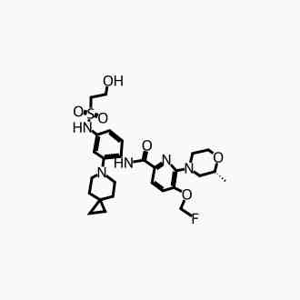 C[C@@H]1CN(c2nc(C(=O)Nc3ccc(NS(=O)(=O)CCO)cc3N3CCC4(CC3)CC4)ccc2OCF)CCO1